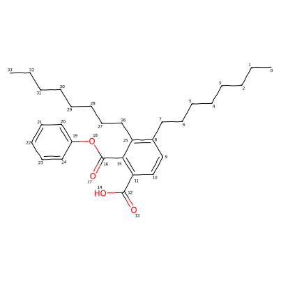 CCCCCCCCc1ccc(C(=O)O)c(C(=O)Oc2ccccc2)c1CCCCCCCC